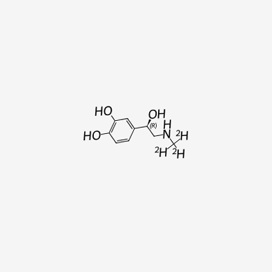 [2H]C([2H])([2H])NC[C@H](O)c1ccc(O)c(O)c1